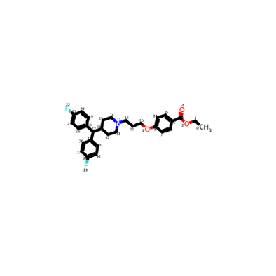 CCOC(=O)c1ccc(OCCCN2CCC(C(c3ccc(F)cc3)c3ccc(F)cc3)CC2)cc1